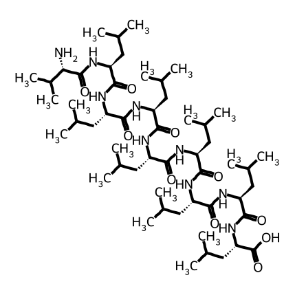 CC(C)C[C@H](NC(=O)[C@H](CC(C)C)NC(=O)[C@H](CC(C)C)NC(=O)[C@H](CC(C)C)NC(=O)[C@H](CC(C)C)NC(=O)[C@H](CC(C)C)NC(=O)[C@H](CC(C)C)NC(=O)[C@H](CC(C)C)NC(=O)[C@@H](N)C(C)C)C(=O)O